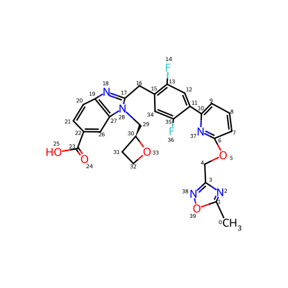 Cc1nc(COc2cccc(-c3cc(F)c(Cc4nc5ccc(C(=O)O)cc5n4C[C@@H]4CCO4)cc3F)n2)no1